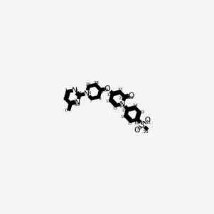 Cc1ccnc(N2CCC(Oc3ccn(-c4ccc(S(C)(=O)=O)cc4)c(=O)c3)CC2)n1